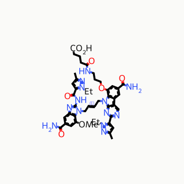 CCn1nc(C)cc1C(=O)Nc1nc2cc(C(N)=O)cc(OC)c2n1C/C=C/Cn1c2nc(-c3cc(C)nn3CC)ncc2c2cc(C(N)=O)cc(OCCCNC(=O)CCCC(=O)O)c21